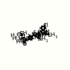 Cc1ccn(-c2cc(Cl)ccc2C(Oc2nc(N)nc3c(-c4ccc(CC(NC(=O)OC(C)(C)C)C(=O)O)cc4)csc23)C(F)(F)F)n1